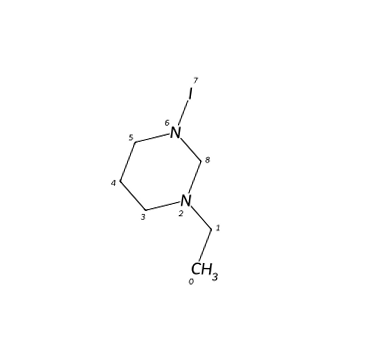 CCN1CCCN(I)C1